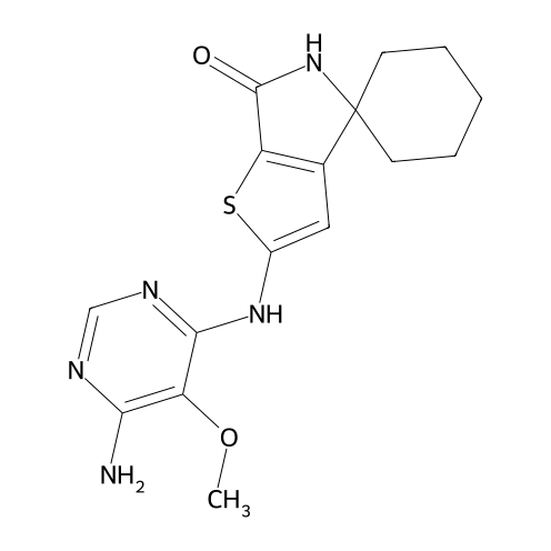 COc1c(N)ncnc1Nc1cc2c(s1)C(=O)NC21CCCCC1